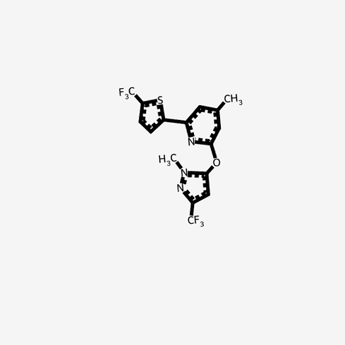 Cc1cc(Oc2cc(C(F)(F)F)nn2C)nc(-c2ccc(C(F)(F)F)s2)c1